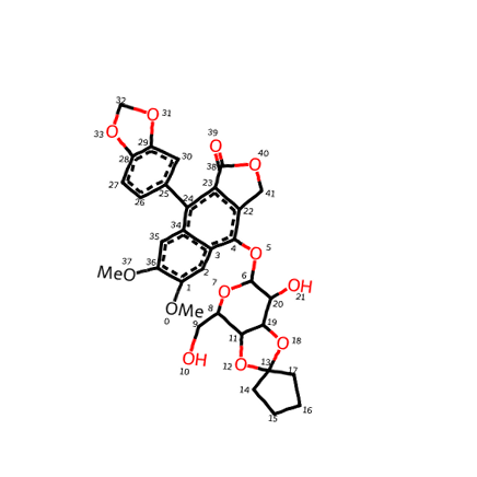 COc1cc2c(OC3OC(CO)C4OC5(CCCC5)OC4C3O)c3c(c(-c4ccc5c(c4)OCO5)c2cc1OC)C(=O)OC3